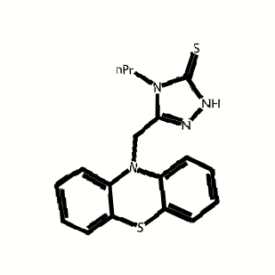 CCCn1c(CN2c3ccccc3Sc3ccccc32)n[nH]c1=S